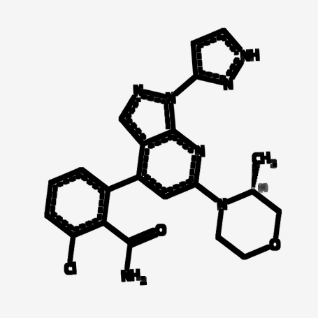 C[C@@H]1COCCN1c1cc(-c2cccc(Cl)c2C(N)=O)c2cnn(-c3cc[nH]n3)c2n1